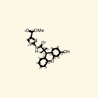 COC(=O)c1csc(NC(=O)C(C)(C)C2c3ccccc3Oc3cc(O)ccc32)n1